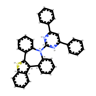 c1ccc(-c2cc(-c3ccccc3)nc(N3c4ccccc4-c4sc5ccccc5c4-c4ccccc43)n2)cc1